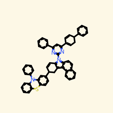 C1=CC(c2ccccc2)CC=C1c1cc(-c2ccccc2)nc(-n2c3c(c4c5ccccc5ccc42)CC(c2ccc4c(c2)N(c2ccccc2)c2ccccc2S4)C=C3)n1